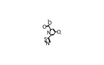 COC(=O)c1cc(OC)cc(-c2cncs2)n1